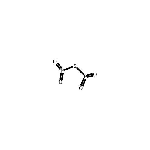 O=P(=O)SP(=O)=O